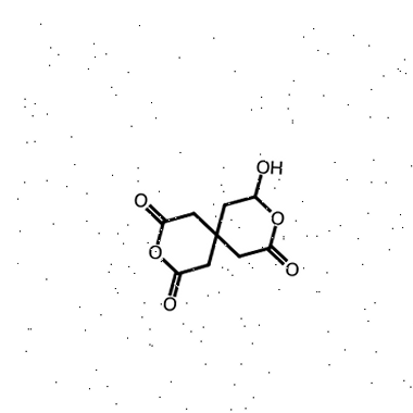 O=C1CC2(CC(=O)O1)CC(=O)OC(O)C2